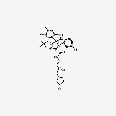 CC(C)(C)C[C@H]1N[C@@H](C(=O)NCC[C@H](O)CN2CC[C@@H](O)C2)[C@H](c2cccc(Cl)c2)[C@@]12C(=O)Nc1cc(Cl)c(F)cc12